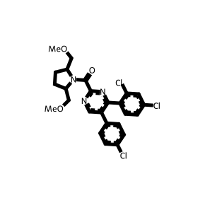 COCC1CCC(COC)N1C(=O)c1ncc(-c2ccc(Cl)cc2)c(-c2ccc(Cl)cc2Cl)n1